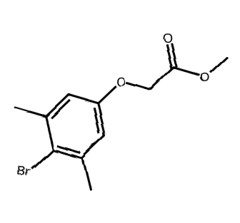 COC(=O)COc1cc(C)c(Br)c(C)c1